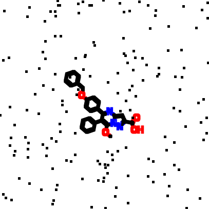 COc1c(-c2ccccc2)c(-c2ccc(OCc3ccccc3)cc2)nc2cc(C(=O)O)nn12